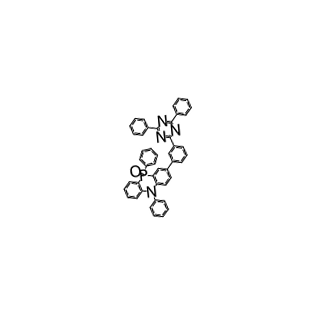 O=P1(c2ccccc2)c2ccccc2N(c2ccccc2)c2ccc(-c3cccc(-c4nc(-c5ccccc5)nc(-c5ccccc5)n4)c3)cc21